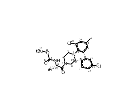 Cc1ccc(N2CCN(C(=O)[C@@H](NC(=O)OC(C)(C)C)C(C)C)C[C@H]2c2ccc(Cl)cc2)c(Cl)c1